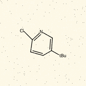 CC(C)(C)c1ccc(Cl)nc1